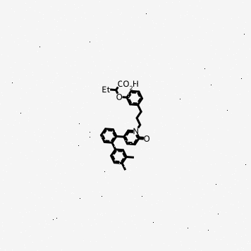 CCC(Oc1cccc(CCCn2cc(-c3ccccc3-c3ccc(C)c(C)c3)ccc2=O)c1)C(=O)O